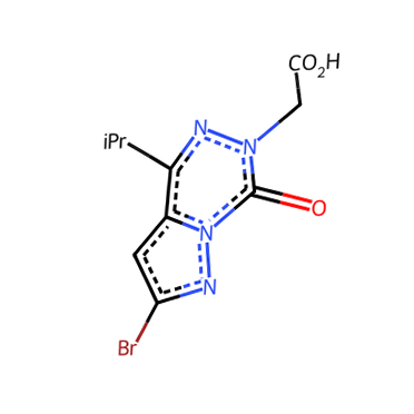 CC(C)c1nn(CC(=O)O)c(=O)n2nc(Br)cc12